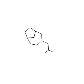 CC(C)CN1CCC2CCC(C2)C1